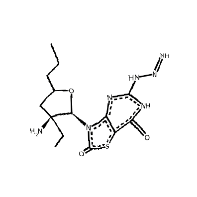 CCCC1C[C@@](N)(CC)[C@H](n2c(=O)sc3c(=O)[nH]c(NN=N)nc32)O1